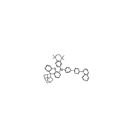 CC1(C)CCC(C)(C)c2cc(N(c3ccc(-c4ccc(-c5cccc6ccccc56)cc4)cc3)c3cccc4c3Sc3ccccc3C43C4CC5CC6CC3C64C5)ccc21